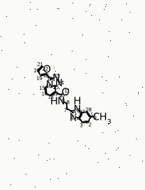 Cc1ccc2nc(CCNC(=O)c3cccn4c(-c5ccco5)nnc34)[nH]c2c1